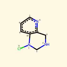 ClN1CNCc2ncccc21